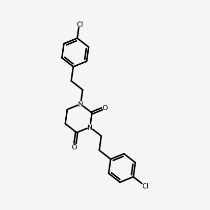 O=C1CCN(CCc2ccc(Cl)cc2)C(=O)N1CCc1ccc(Cl)cc1